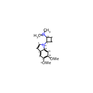 COc1cc2ccn(C3CCC3N(C)C)c2cc1OC